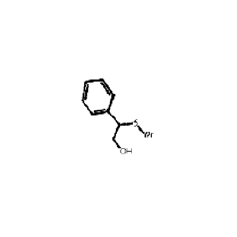 CC(C)SC(CO)c1ccccc1